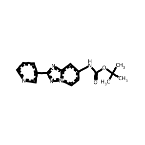 CC(C)(C)OC(=O)Nc1ccn2nc(-c3cccnc3)nc2c1